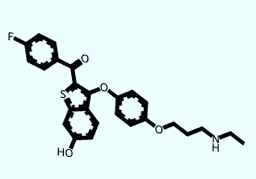 CCNCCCOc1ccc(Oc2c(C(=O)c3ccc(F)cc3)sc3cc(O)ccc23)cc1